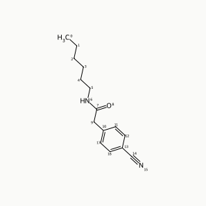 CCCCCCNC(=O)Cc1ccc(C#N)cc1